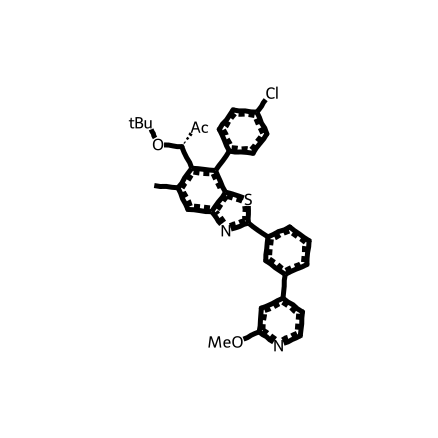 COc1cc(-c2cccc(-c3nc4cc(C)c([C@H](OC(C)(C)C)C(C)=O)c(-c5ccc(Cl)cc5)c4s3)c2)ccn1